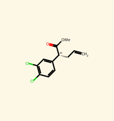 C=CC[C@@H](C(=O)OC)c1ccc(Cl)c(Cl)c1